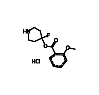 COc1ccccc1C(=O)OC1(F)CCNCC1.Cl